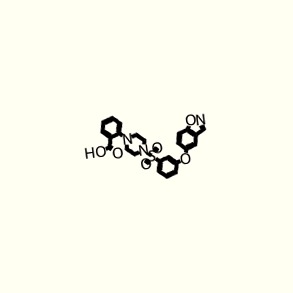 O=C(O)c1ccccc1N1CCN(S(=O)(=O)c2cccc(Oc3ccc4oncc4c3)c2)CC1